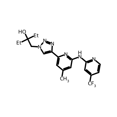 CCC(O)(CC)Cn1cc(-c2cc(C)cc(Nc3cc(C(F)(F)F)ccn3)n2)nn1